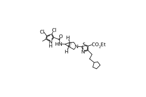 CCOC(=O)c1sc(N2C[C@@H]3C(NC(=O)c4[nH]c(C)c(Cl)c4Cl)[C@@H]3C2)nc1CCC1CCCC1